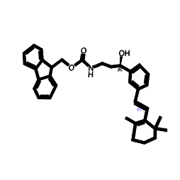 CC1=C(/C=C/c2cccc([C@H](O)CCNC(=O)OCC3c4ccccc4-c4ccccc43)c2)C(C)(C)CCC1